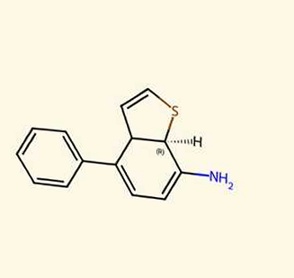 NC1=CC=C(c2ccccc2)C2C=CS[C@@H]12